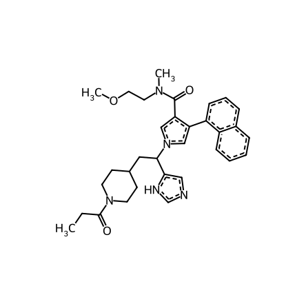 CCC(=O)N1CCC(CC(c2cnc[nH]2)n2cc(C(=O)N(C)CCOC)c(-c3cccc4ccccc34)c2)CC1